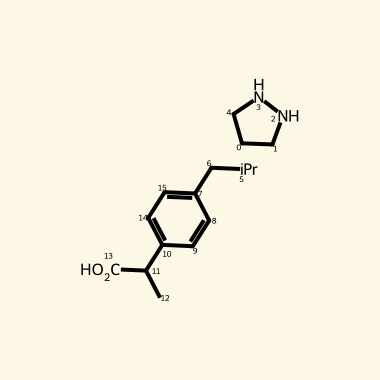 C1CNNC1.CC(C)Cc1ccc(C(C)C(=O)O)cc1